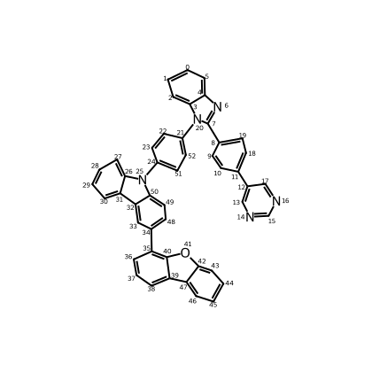 c1ccc2c(c1)nc(-c1ccc(-c3cncnc3)cc1)n2-c1ccc(-n2c3ccccc3c3cc(-c4cccc5c4oc4ccccc45)ccc32)cc1